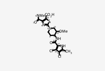 CNC(=O)c1nc(N2CCC(NC(=O)c3[nH]c(C)c(Cl)c3Cl)C(OC)C2)sc1C(=O)O